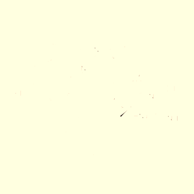 CN1C(=N)N[C@](CCC2CCCCC2)(C[C@H]2CCC[C@@H](Nc3ccc4cc(Cl)ccc4n3)C2)C1=O